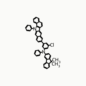 CC1(C)c2ccccc2-c2cc(N(c3ccccc3)c3cc(Cl)cc(-c4ccc5cc6c(cc5c4)c4ccc5ccccc5c4n6-c4ccccc4)c3)ccc21